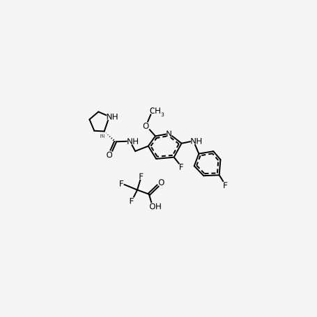 COc1nc(Nc2ccc(F)cc2)c(F)cc1CNC(=O)[C@@H]1CCCN1.O=C(O)C(F)(F)F